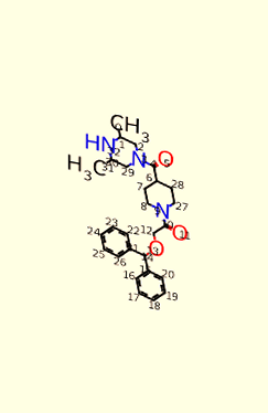 CC1CN(C(=O)C2CCN(C(=O)COC(c3ccccc3)c3ccccc3)CC2)CC(C)N1